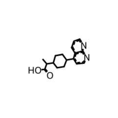 CC(C(=O)O)C1CCC(c2ccnc3ncccc23)CC1